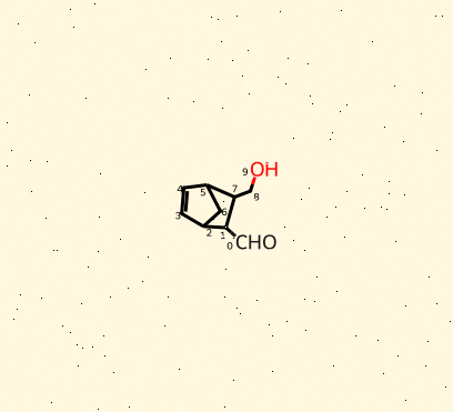 O=CC1C2C=CC(C2)C1CO